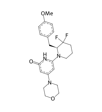 COc1ccc(C[C@@H]2N(c3cc(N4CCOCC4)cc(=O)[nH]3)CCCC2(F)F)cc1